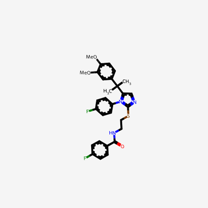 COc1ccc(C(C)(C)c2cnc(SCCNC(=O)c3ccc(F)cc3)n2-c2ccc(F)cc2)cc1OC